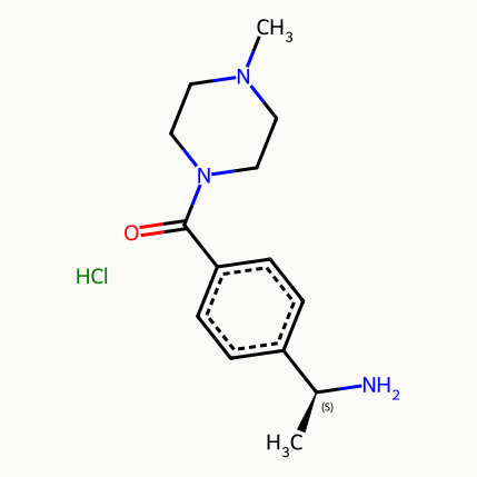 C[C@H](N)c1ccc(C(=O)N2CCN(C)CC2)cc1.Cl